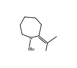 CC(C)=C1CCCCCN1C(C)(C)C